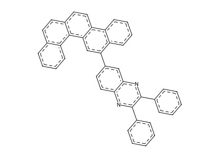 c1ccc(-c2nc3ccc(-c4cc5c(ccc6ccc7ccccc7c65)c5ccccc45)cc3nc2-c2ccccc2)cc1